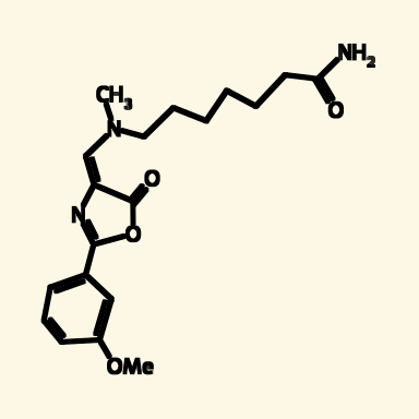 COc1cccc(C2=NC(=CN(C)CCCCCCC(N)=O)C(=O)O2)c1